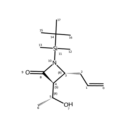 C=CC[C@@H]1[C@@H]([C@@H](C)O)C(=O)N1[Si](C)(C)C(C)(C)C